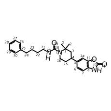 CC1(C)CC(c2ccc3[nH]c(=O)oc3c2)CCN1C(=O)NCCCCc1ccccc1